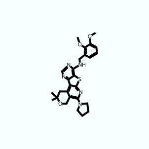 COc1cccc(CNc2ncnc3c2sc2nc(N4CCCC4)c4c(c23)CC(C)(C)OC4)c1OC